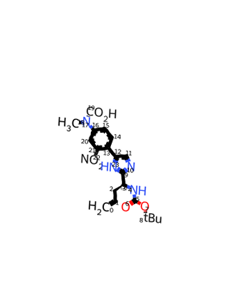 C=CC[C@H](NC(=O)OC(C)(C)C)c1ncc(-c2ccc(N(C)C(=O)O)cc2[N+](=O)[O-])[nH]1